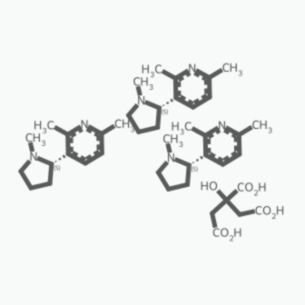 Cc1ccc([C@@H]2CCCN2C)c(C)n1.Cc1ccc([C@@H]2CCCN2C)c(C)n1.Cc1ccc([C@@H]2CCCN2C)c(C)n1.O=C(O)CC(O)(CC(=O)O)C(=O)O